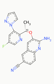 C[C@H](Oc1cc2cc(C#N)ccc2nc1N)c1ncc(F)cc1-n1cccn1